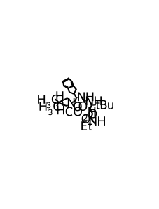 CCNC(=O)OC[C@@H](NC(=O)N[C@H](C(=O)N1C[C@H]2[C@@H]([C@H]1C(=O)O)C2(C)C)C1Cc2ccccc2C1)C(C)(C)C